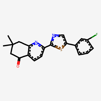 CC1(C)CC(=O)c2ccc(-c3ncc(-c4cccc(F)c4)s3)nc2C1